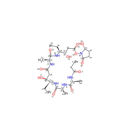 CC(C)CC(=O)N[C@H](C(=O)N[C@H](C(=O)N[C@@H](CC(C)C)[C@@H](O)CC(=O)N[C@@H](C)C(=O)N[C@@H](CC(C)C)[C@@H](O)CC(=O)ON1C(=O)CCC1O)C(C)C)C(C)C